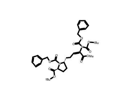 COC(=O)/C(=C\CC[C@@H]1CC[C@@H](C(=O)OC(C)(C)C)N1C(=O)OCc1ccccc1)N(C(=O)OCc1ccccc1)C(=O)OC(C)(C)C